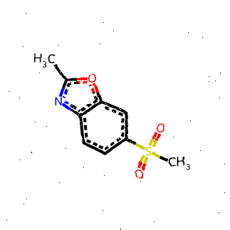 Cc1nc2ccc(S(C)(=O)=O)cc2o1